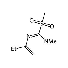 C=C(CC)/N=C(\NC)S(C)(=O)=O